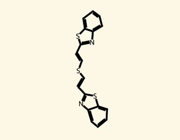 C(=Cc1nc2ccccc2s1)SC=Cc1nc2ccccc2s1